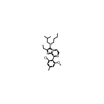 CCCCN(CC(C)C)c1c(CC)nc2c(-c3c(Cl)cc(C)cc3OC)nccn12